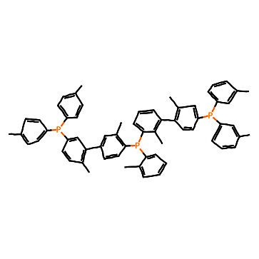 Cc1ccc(P(c2ccc(C)cc2)c2ccc(C)c(-c3ccc(P(c4ccccc4C)c4cccc(-c5ccc(P(c6cccc(C)c6)c6cccc(C)c6)cc5C)c4C)c(C)c3)c2)cc1